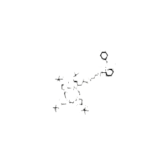 CC(C)(C)OC(=O)CN1CCN(CC(=O)OC(C)(C)C)CCN(C(CCC(=O)NCCNC(=O)c2cccc(=O)n2OCc2ccccc2)C(=O)OC(C)(C)C)CCN(CC(=O)OC(C)(C)C)CC1